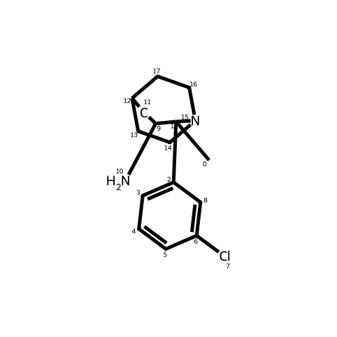 CC1(c2cccc(Cl)c2)C(N)CC2CCN1CC2